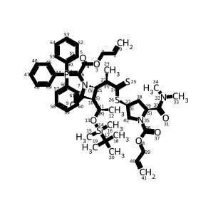 C=CCOC(=O)C(N1C(=O)[C@H]([C@@H](C)O[Si](C)(C)C(C)(C)C)[C@H]1[C@@H](C)C(=S)S[C@H]1C[C@@H](C(=O)N(C)C)N(C(=O)OCC=C)C1)=P(c1ccccc1)(c1ccccc1)c1ccccc1